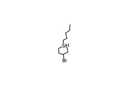 CCCCC[SiH]1CCC(Br)CC1